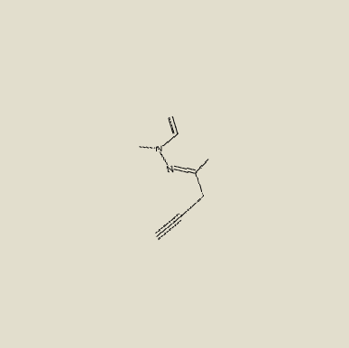 C#CCC(C)=NN(C)C=C